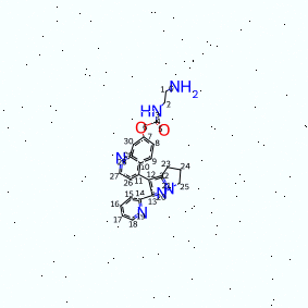 NCCNC(=O)Oc1ccc2c(-c3c(-c4ccccn4)nn4c3CCC4)ccnc2c1